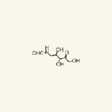 O=CNCC(O)C(O)C(=O)CO